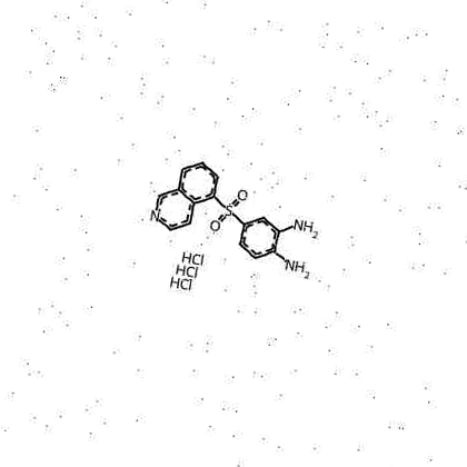 Cl.Cl.Cl.Nc1ccc(S(=O)(=O)c2cccc3cnccc23)cc1N